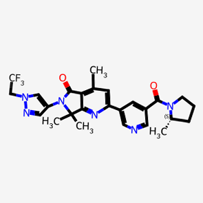 Cc1cc(-c2cncc(C(=O)N3CCC[C@@H]3C)c2)nc2c1C(=O)N(c1cnn(CC(F)(F)F)c1)C2(C)C